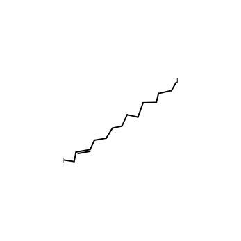 ICC=CCCCCCCCCCCI